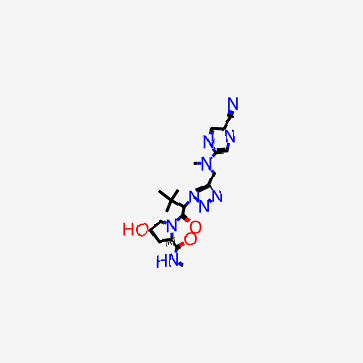 CNC(=O)[C@H]1CC(O)CN1C(=O)C(n1cc(CN(C)c2cnc(C#N)cn2)nn1)C(C)(C)C